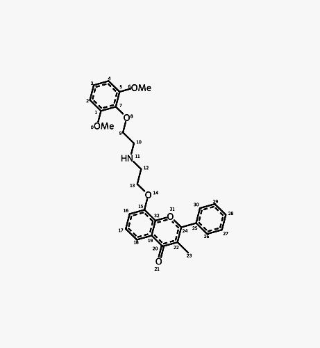 COc1cccc(OC)c1OCCNCCOc1cccc2c(=O)c(C)c(-c3ccccc3)oc12